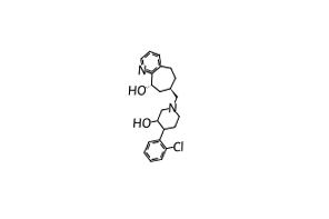 OC1CN(C[C@@H]2CCc3cccnc3[C@@H](O)C2)CCC1c1ccccc1Cl